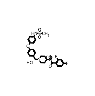 CCCCN(C(=O)c1ccc(F)cc1F)C1CCN(Cc2ccc(Oc3ccc(NS(C)(=O)=O)cc3)cc2)CC1.Cl